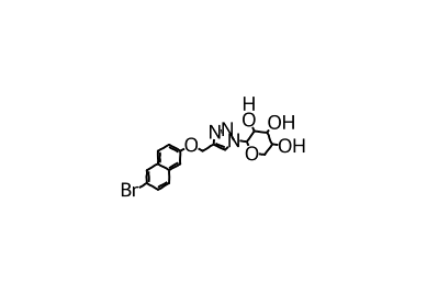 OC1COC(n2cc(COc3ccc4cc(Br)ccc4c3)nn2)C(O)C1O